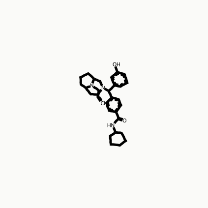 C=CCN1C2CCCC1CN(C(c1ccc(C(=O)NC3CCCCC3)cc1)c1cccc(O)c1)CC2